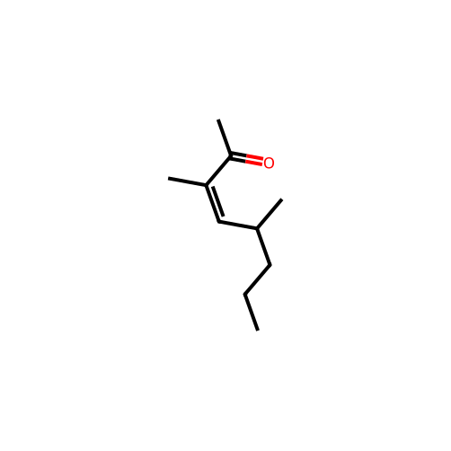 CCCC(C)C=C(C)C(C)=O